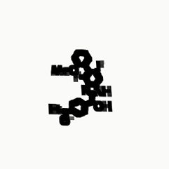 CC[S+]([O-])c1ccc(C(O)c2nc3c(F)c(-c4ccccc4OC)c(F)cc3[nH]2)cc1